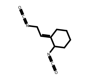 O=C=NCC=C1CCCCC1N=C=O